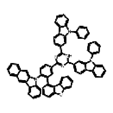 c1ccc(-n2c3ccccc3c3ccc(C4=NC(c5ccc(-n6c7ccccc7c7cc8ccccc8cc76)c(-c6cccc7oc8ccccc8c67)c5)=NC(c5ccc6c7ccccc7n(-c7ccccc7)c6c5)N4)cc32)cc1